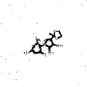 CSc1c(C2(C)OCCO2)nn(-c2c(N)cc(C(F)(F)F)cc2Cl)c1N